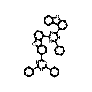 c1ccc(-c2nc(-c3ccccc3)nc(-c3ccc4c(c3)oc3cccc(-c5nc(-c6ccccc6)nc(-c6cccc7oc8ccccc8c67)n5)c34)n2)cc1